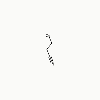 N#CC[CH2][Zn]